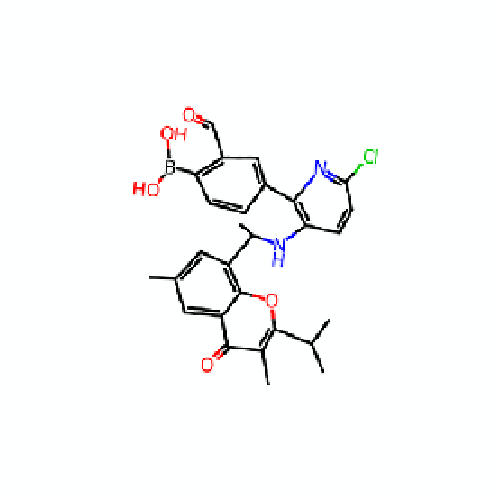 Cc1cc(C(C)Nc2ccc(Cl)nc2-c2ccc(B(O)O)c(C=O)c2)c2oc(C(C)C)c(C)c(=O)c2c1